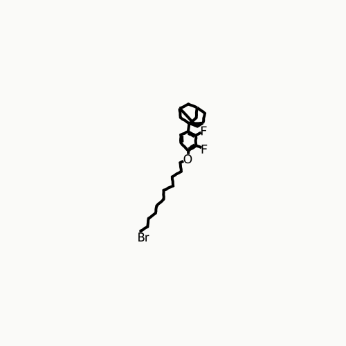 Fc1c(OCCCCCCCCCCCBr)ccc(C23CC4CC(CC(C4)C2)C3)c1F